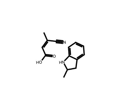 CC(C#N)=CC(=O)O.CC1Cc2ccccc2N1